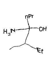 CCCC(N)(O)C(C)CC